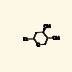 CCC1C[C@@H](O)C(O)CO1